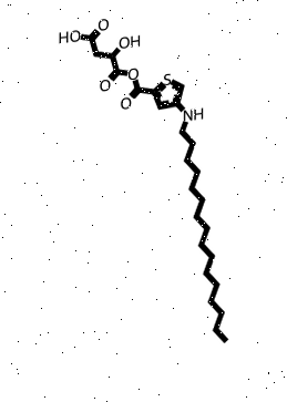 CCCCCCCCCCCCCCCCNc1csc(C(=O)OC(=O)C(O)CC(=O)O)c1